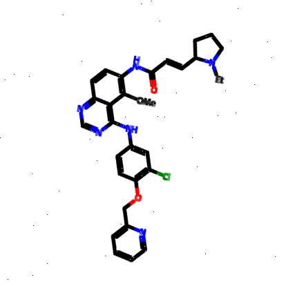 CCN1CCCC1C=CC(=O)Nc1ccc2ncnc(Nc3ccc(OCc4ccccn4)c(Cl)c3)c2c1OC